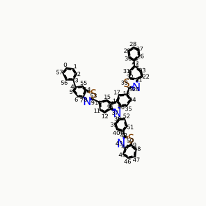 c1ccc(-c2ccc3nc(-c4ccc5c(c4)c4cc(-c6nc7ccc(-c8ccccc8)cc7s6)ccc4n5-c4ccc(-c5nc6ccccc6s5)cc4)sc3c2)cc1